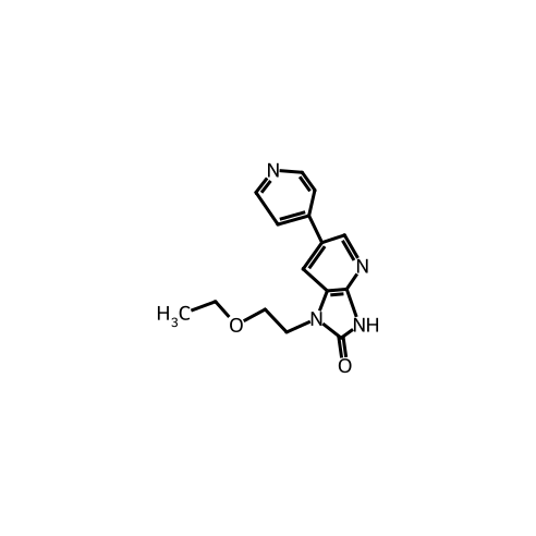 CCOCCn1c(=O)[nH]c2ncc(-c3ccncc3)cc21